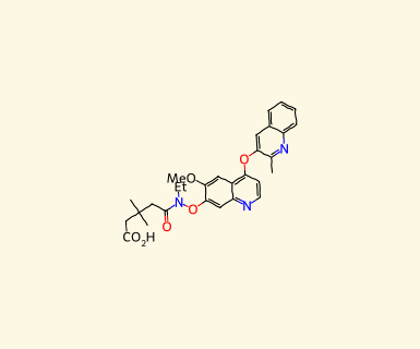 CCN(Oc1cc2nccc(Oc3cc4ccccc4nc3C)c2cc1OC)C(=O)CC(C)(C)CC(=O)O